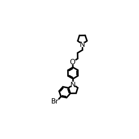 Brc1ccc2c(c1)CCN2c1ccc(OCCCN2CCCC2)cc1